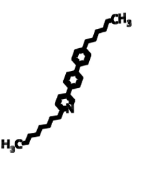 CCCCCCCCc1ccc(-c2ccc(-c3ccc(CCCCCC)cc3)cc2)cn1